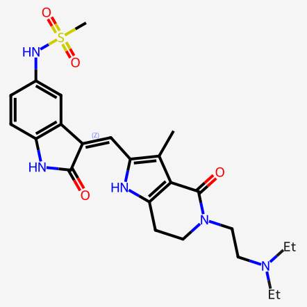 CCN(CC)CCN1CCc2[nH]c(/C=C3\C(=O)Nc4ccc(NS(C)(=O)=O)cc43)c(C)c2C1=O